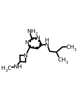 CCC(C)CNc1cc(N2CC(NC)C2)nc(N)n1